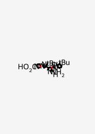 CC(C)(C)c1cccc(NC(=O)c2cc(-c3cn(C4CCN(C(=O)O)CC4)nc3C(C)(C)C)cnc2N)c1